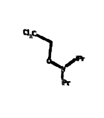 CC(C)N(OCC(Cl)(Cl)Cl)C(C)C